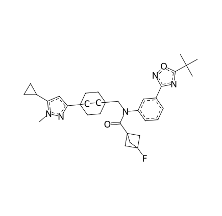 Cn1nc(C23CCC(CN(C(=O)C45CC(F)(C4)C5)c4cccc(-c5noc(C(C)(C)C)n5)c4)(CC2)CC3)cc1C1CC1